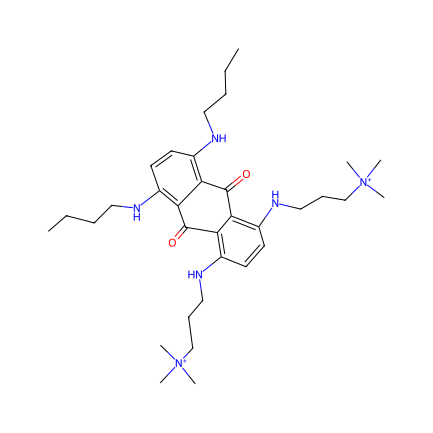 CCCCNc1ccc(NCCCC)c2c1C(=O)c1c(NCCC[N+](C)(C)C)ccc(NCCC[N+](C)(C)C)c1C2=O